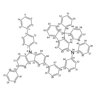 c1ccc(-c2ccc(-n3c4ccc(-c5ccccc5)cc4c4cc(-c5cccc(-c6cccc(N(c7ccccc7)c7ccc8c(c7)C(c7ccccc7)(c7ccccc7)c7ccccc7-8)c6)c5)ccc43)cc2)cc1